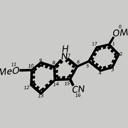 COc1cccc(-c2[nH]c3cc(OC)ccc3c2C#N)c1